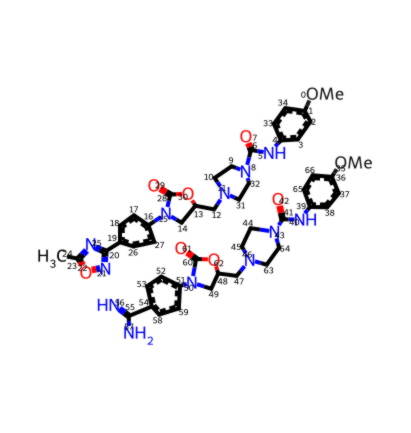 COc1ccc(NC(=O)N2CCN(CC3CN(c4ccc(-c5noc(C)n5)cc4)C(=O)O3)CC2)cc1.COc1ccc(NC(=O)N2CCN(CC3CN(c4ccc(C(=N)N)cc4)C(=O)O3)CC2)cc1